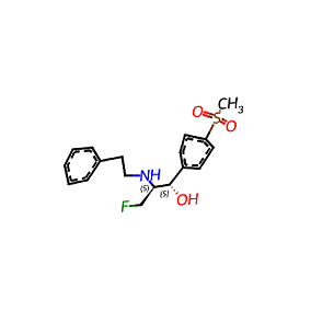 CS(=O)(=O)c1ccc([C@H](O)[C@@H](CF)NCCc2ccccc2)cc1